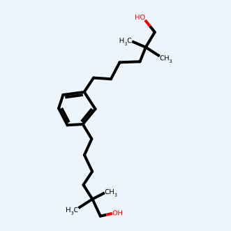 CC(C)(CO)CCCCc1cccc(CCCCC(C)(C)CO)c1